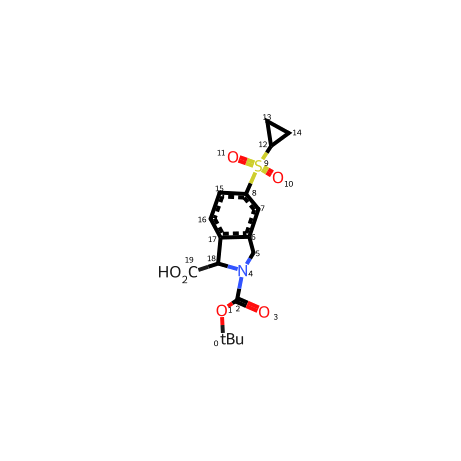 CC(C)(C)OC(=O)N1Cc2cc(S(=O)(=O)C3CC3)ccc2C1C(=O)O